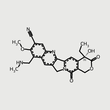 CC[C@@]1(O)C(=O)OCc2c1cc1n(c2=O)Cc2cc3c(CNC)c(OC)c(C#N)cc3nc2-1